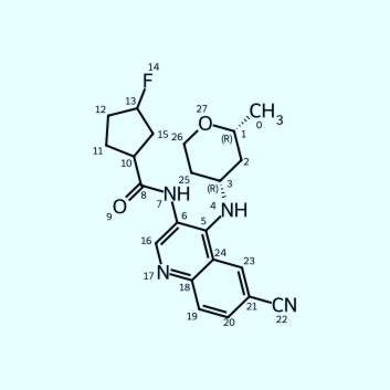 C[C@@H]1C[C@H](Nc2c(NC(=O)C3CCC(F)C3)cnc3ccc(C#N)cc23)CCO1